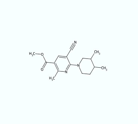 COC(=O)c1cc(C#N)c(N2CCC(C)C(C)C2)nc1C